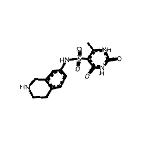 Cc1[nH]c(=O)[nH]c(=O)c1S(=O)(=O)Nc1ccc2c(c1)CNCC2